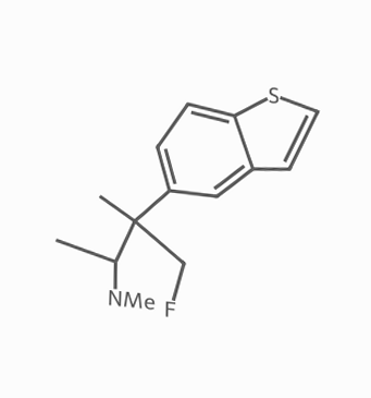 CNC(C)C(C)(CF)c1ccc2sccc2c1